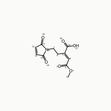 COC(=O)/C=C(\CCN1C(=O)C=CC1=O)C(=O)O